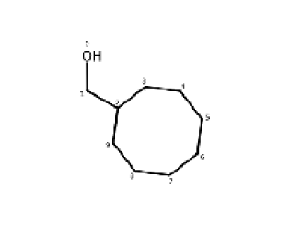 OCC1[CH]CCCCCC1